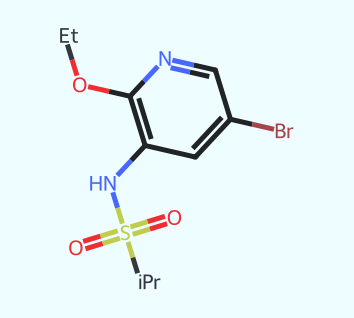 [CH2]COc1ncc(Br)cc1NS(=O)(=O)C(C)C